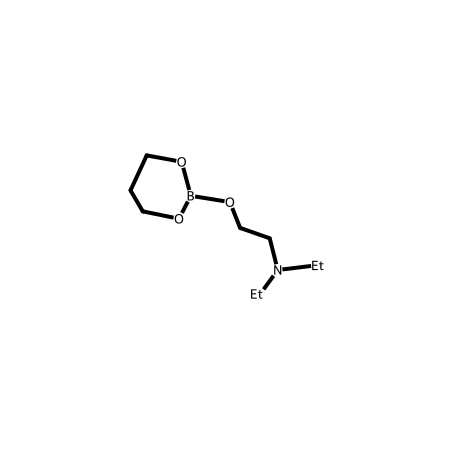 CCN(CC)CCOB1OCCCO1